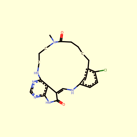 CN1CCCNc2ncnc3c2/C(=C/Nc2ccc(Cl)c(c2)CCCCC1=O)C(=O)N3